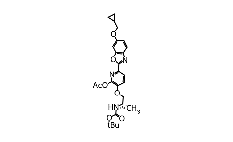 CC(=O)Oc1nc(-c2nc3ccc(OCC4CC4)cc3o2)ccc1OC[C@H](C)NC(=O)OC(C)(C)C